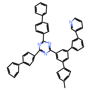 Cc1ccc(-c2cc(-c3cccc(-c4cccnc4)c3)cc(-c3nc(-c4ccc(-c5ccccc5)cc4)nc(-c4ccc(-c5ccccc5)cc4)n3)c2)cc1